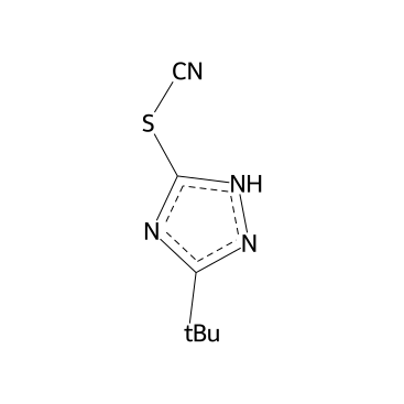 CC(C)(C)c1n[nH]c(SC#N)n1